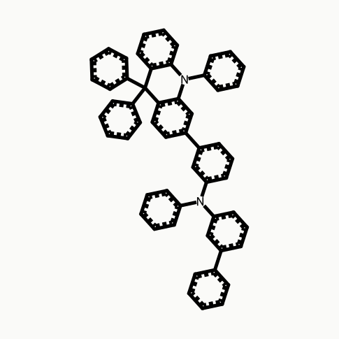 c1ccc(-c2cccc(N(c3ccccc3)c3cccc(-c4ccc5c(c4)N(c4ccccc4)c4ccccc4C5(c4ccccc4)c4ccccc4)c3)c2)cc1